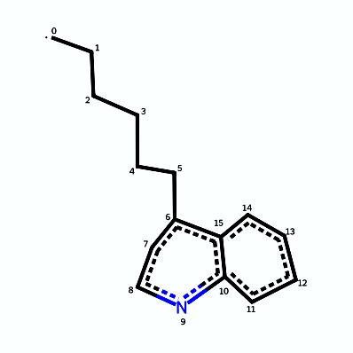 [CH2]CCCCCc1ccnc2ccccc12